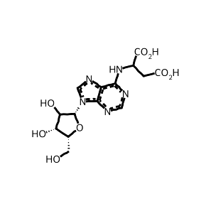 O=C(O)CC(Nc1ncnc2c1ncn2[C@@H]1O[C@H](CO)[C@H](O)C1O)C(=O)O